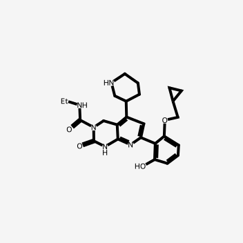 CCNC(=O)N1Cc2c(C3CCCNC3)cc(-c3c(O)cccc3OCC3CC3)nc2NC1=O